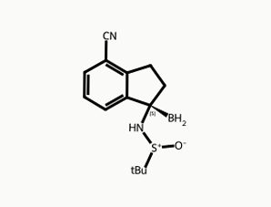 B[C@]1(N[S+]([O-])C(C)(C)C)CCc2c(C#N)cccc21